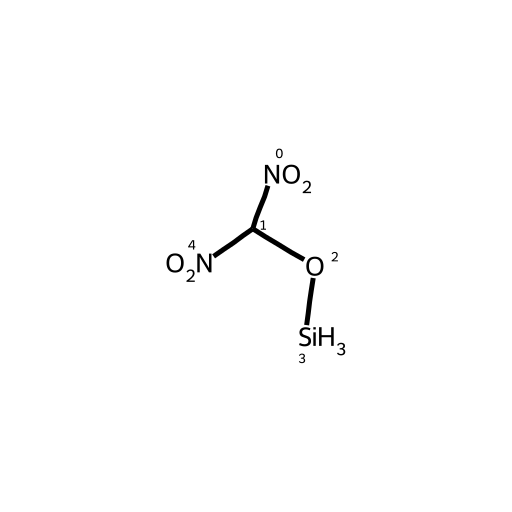 O=[N+]([O-])C(O[SiH3])[N+](=O)[O-]